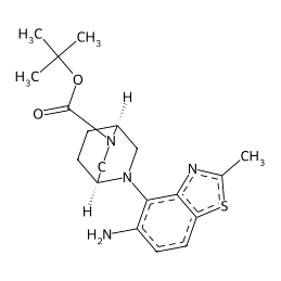 Cc1nc2c(N3C[C@@H]4CC[C@H]3CN4C(=O)OC(C)(C)C)c(N)ccc2s1